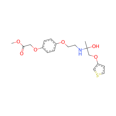 COC(=O)COc1ccc(OCCNC(C)(O)COc2ccsc2)cc1